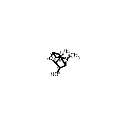 CN1C2CC3C[C@H]1C(O3)C2O